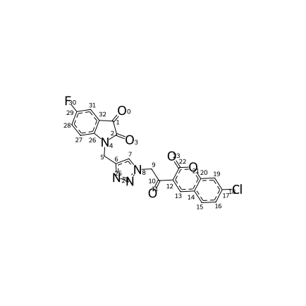 O=C1C(=O)N(Cc2cn(CC(=O)c3cc4ccc(Cl)cc4oc3=O)nn2)c2ccc(F)cc21